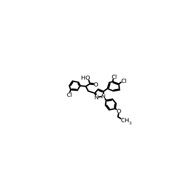 CCOc1ccc(-n2nc(CC(C(=O)O)c3cccc(Cl)c3)cc2-c2ccc(Cl)c(Cl)c2)cc1